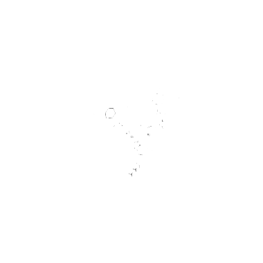 Cc1cc(C(=O)NC[C@@H](O)[C@@H](O)[C@@H]2O[C@@](CCN3CCOC[C@@]34CCN(C(=O)OC(C)(C)C)C4)(C(=O)O)CC(O)[C@H]2NC(=O)CN=[N+]=[N-])cc(C)c1O